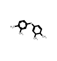 Cc1ccc(SC2=CC(C)C(C)C=C2)cc1C